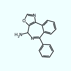 NC1N=C(c2ccccc2)c2ccccc2-c2ncoc21